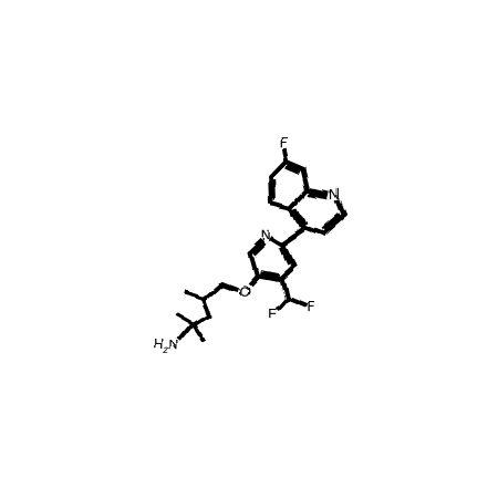 CC(COc1cnc(-c2ccnc3cc(F)ccc23)cc1C(F)F)CC(C)(C)N